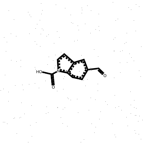 O=Cc1ccc2c(ccn2C(=O)O)c1